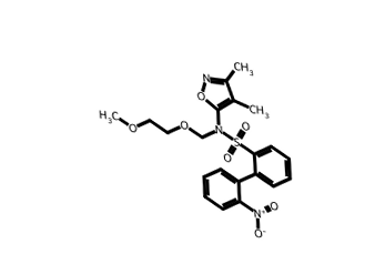 COCCOCN(c1onc(C)c1C)S(=O)(=O)c1ccccc1-c1ccccc1[N+](=O)[O-]